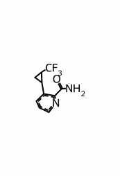 NC(=O)c1ncccc1C1CC1C(F)(F)F